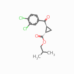 CC(C)COC(=O)[C@H]1C[C@@H]1C(=O)c1ccc(Cl)c(Cl)c1